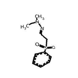 CN(C)N=CCS(=O)(=O)c1ccccc1